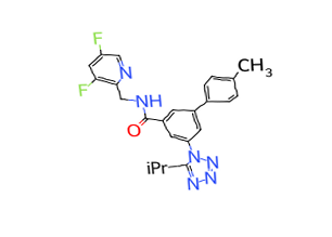 Cc1ccc(-c2cc(C(=O)NCc3ncc(F)cc3F)cc(-n3nnnc3C(C)C)c2)cc1